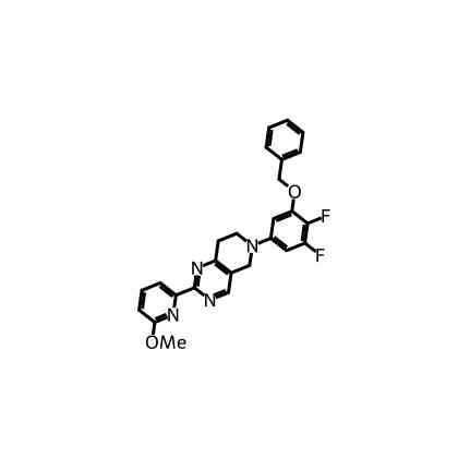 COc1cccc(-c2ncc3c(n2)CCN(c2cc(F)c(F)c(OCc4ccccc4)c2)C3)n1